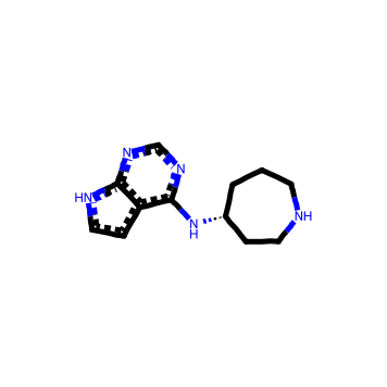 c1nc(N[C@@H]2CCCNCC2)c2cc[nH]c2n1